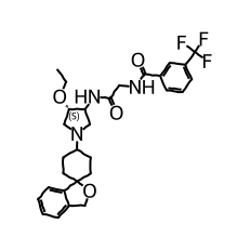 CCO[C@H]1CN(C2CCC3(CC2)OCc2ccccc23)CC1NC(=O)CNC(=O)c1cccc(C(F)(F)F)c1